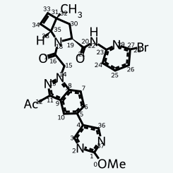 COc1ncc(-c2ccc3c(c2)c(C(C)=O)nn3CC(=O)N2[C@H](C(=O)Nc3cccc(Br)n3)C[C@@]3(C)C=C[C@@H]23)cn1